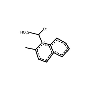 CCC([n+]1c(C)ccc2ccccc21)S(=O)(=O)O